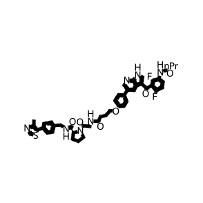 CCCC(=O)Nc1ccc(F)c(C(=O)c2c[nH]c3ncc(-c4ccc(OCCCC(=O)NCC(=O)N5CCC[C@H]5C(=O)NCc5ccc(-c6scnc6C)cc5)cc4)cc23)c1F